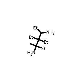 CCC(N)C(CC)(CC)C(C)(N)CC